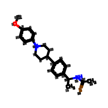 CCOc1ccc(N2CCC(c3ccc(C(C)NC(C)=S)cc3)CC2)cc1